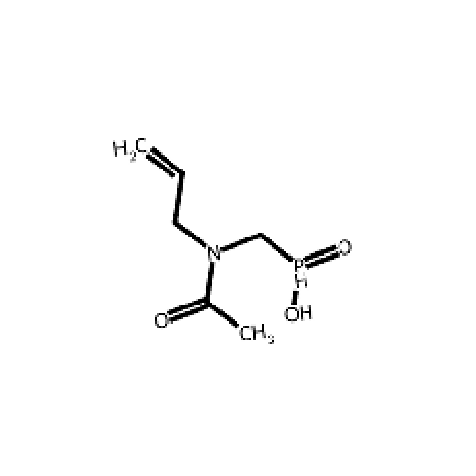 C=CCN(C[PH](=O)O)C(C)=O